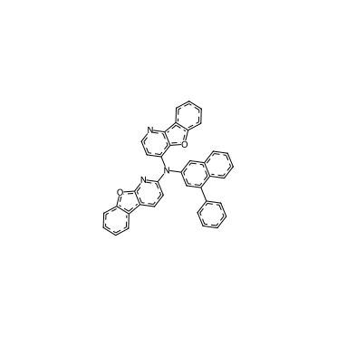 c1ccc(-c2cc(N(c3ccc4c(n3)oc3ccccc34)c3ccnc4c3oc3ccccc34)cc3ccccc23)cc1